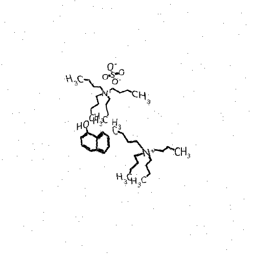 CCCC[N+](CCCC)(CCCC)CCCC.CCCC[N+](CCCC)(CCCC)CCCC.O=S(=O)([O-])[O-].Oc1cccc2ccccc12